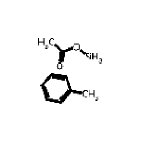 CC(=O)O[SiH3].Cc1ccccc1